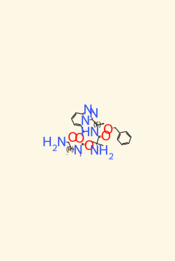 C[C@H](C(N)=O)N(C)C(=O)OCc1cccc2nnc([C@@H](COCc3ccccc3)NC(=O)C(C)(C)N)n12